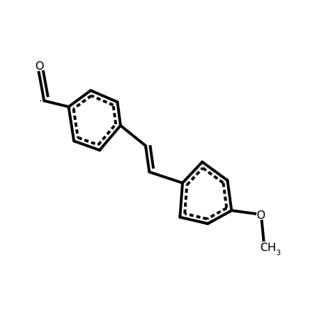 COc1ccc(/C=C/c2ccc([C]=O)cc2)cc1